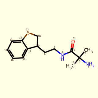 CC(C)(N)C(=O)NCCC1CSc2ccccc21